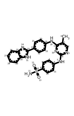 Cc1cnc(Nc2ccc(S(N)(=O)=O)cc2)nc1Nc1ccc(-c2nc3ccccc3[nH]2)cc1